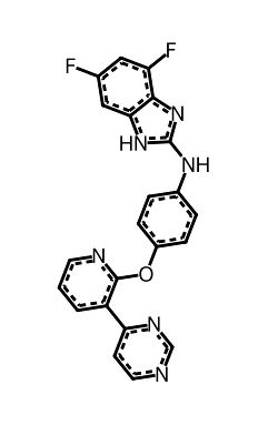 Fc1cc(F)c2nc(Nc3ccc(Oc4ncccc4-c4ccncn4)cc3)[nH]c2c1